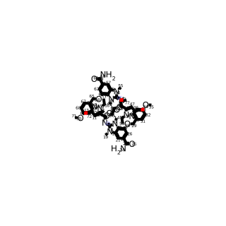 CCO[C@@H](Cn1/c(=N\C(=O)c2cc(C)nn2CC)n(C)c2cc(C(N)=O)cc(OCc3ccc(OC)cc3)c21)[C@H](Cn1/c(=N\C(=O)c2cc(C)nn2CC)n(C)c2cc(C(N)=O)cc(OCc3ccc(OC)cc3)c21)OCC